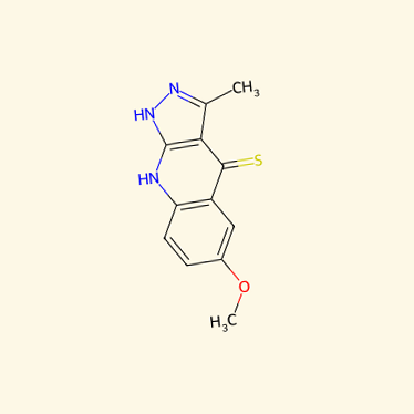 COc1ccc2[nH]c3[nH]nc(C)c3c(=S)c2c1